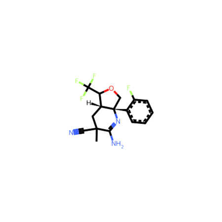 CC1(C#N)C[C@@H]2C(C(F)(F)F)OC[C@]2(c2ccccc2F)N=C1N